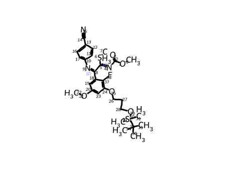 COC(=O)/N=C(SC)/C(=N\c1ccc(C#N)cc1)c1cc(OC)cc(OCCCO[Si](C)(C)C(C)(C)C)c1F